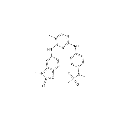 Cc1cnc(Nc2ccc(N(C)S(C)(=O)=O)cc2)nc1Nc1ccc2oc(=O)n(C)c2c1